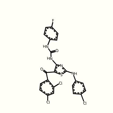 O=C(Nc1ccc(F)cc1)Nc1nc(Nc2ccc(Cl)cc2)sc1C(=O)c1ccc(Cl)cc1Cl